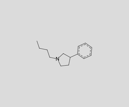 CCCCN1CCC(c2ccccc2)C1